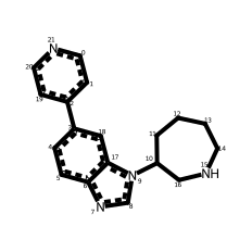 c1cc(-c2ccc3ncn(C4CCCCNC4)c3c2)ccn1